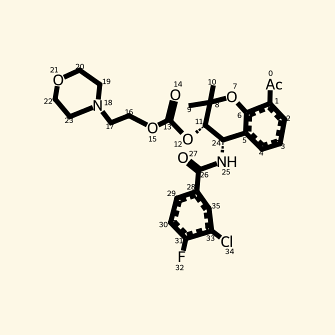 CC(=O)c1cccc2c1OC(C)(C)[C@@H](OC(=O)OCCN1CCOCC1)[C@H]2NC(=O)c1ccc(F)c(Cl)c1